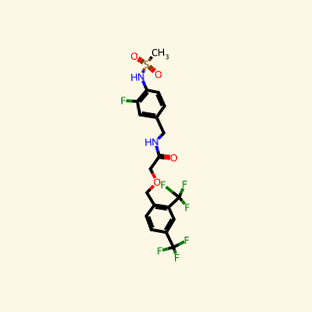 CS(=O)(=O)Nc1ccc(CNC(=O)COCc2ccc(C(F)(F)F)cc2C(F)(F)F)cc1F